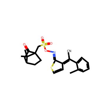 Cc1ccccc1C(C#N)=C1C=CSC1=NOS(=O)(=O)CC12CCC(CC1=O)C2(C)C